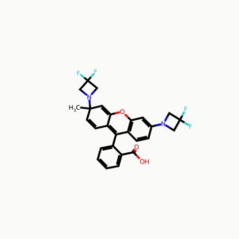 CC1(N2CC(F)(F)C2)C=CC2=C(c3ccccc3C(=O)O)c3ccc(N4CC(F)(F)C4)cc3OC2=C1